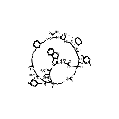 CCC[C@@H]1NC(=O)[C@H](Cc2c[nH]c3ncccc23)NC(=O)[C@@H]([C@@H](C)O)NC(=O)[C@@H]2CCCNC(=O)CCC[C@H](NC1=O)C(=O)N[C@@H](Cc1ccc(O)cc1)C(=O)N[C@@H](C1CCCCC1)C(=O)N[C@@H]([C@@H](C)O)C(=O)N[C@H](C(N)=O)CSCc1cccc(c1)CSCCC(=O)N[C@@H](C(C)(C)C)C(=O)N[C@@H](Cc1ccc(O)cc1)C(=O)N2